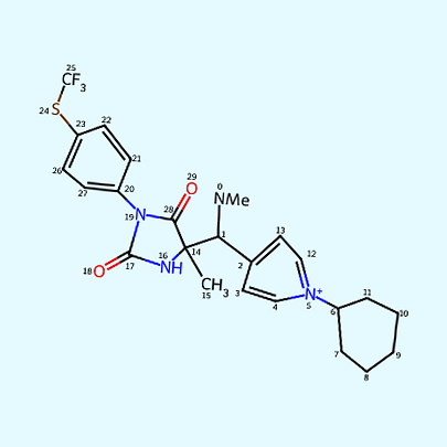 CNC(c1cc[n+](C2CCCCC2)cc1)C1(C)NC(=O)N(c2ccc(SC(F)(F)F)cc2)C1=O